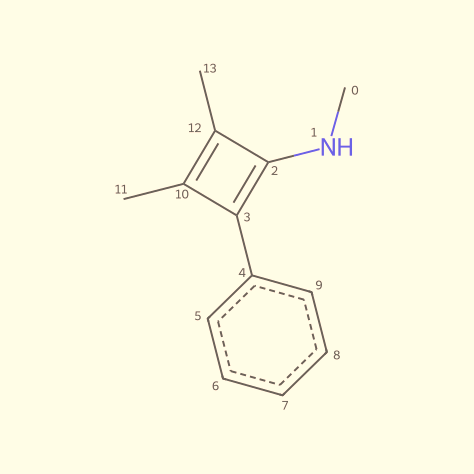 CNC1=C(c2ccccc2)C(C)=C1C